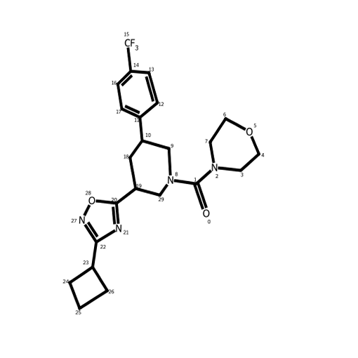 O=C(N1CCOCC1)N1CC(c2ccc(C(F)(F)F)cc2)CC(c2nc(C3CCC3)no2)C1